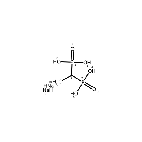 CC(P(=O)(O)O)P(=O)(O)O.[NaH].[NaH]